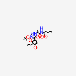 C=CCC[C@H](NC(=O)[C@H](C)NC(=O)[C@H](c1ccc(OC)c(CC=C)c1)N(C)C(=O)OC(C)(C)C)C(=O)OC